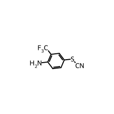 N#CSc1ccc(N)c(C(F)(F)F)c1